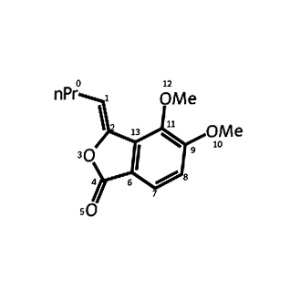 CCCC=C1OC(=O)c2ccc(OC)c(OC)c21